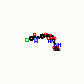 CC(OC(=O)NCCNC(=O)OC(C)(C)C)OC(=O)C(C)(C)Oc1ccc(CCNC(=O)c2ccc(Cl)cc2)cc1